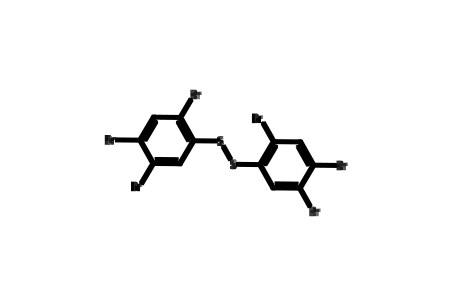 Brc1cc(Br)c(SSc2cc(Br)c(Br)cc2Br)cc1Br